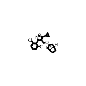 Clc1cccc(Cl)c1-c1noc(C2CC2)c1CO[C@H]1CC2CC[C@@H](C1)N2